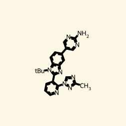 Cc1ncn(-c2ncccc2-c2nc3cc(-c4cnc(N)nc4)ccc3n2C(C)(C)C)n1